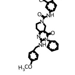 COc1ccc(CNc2nc3c(c(=O)n2-c2ccccc2)CN(C(=O)Nc2ccc(C)c(Cl)c2)CC3)cc1